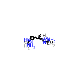 C=C/C(=C\C=C1/CN=C([C@H](C)N)N1)CCc1ccc2[nH]c([C@H](C)N)nc2c1